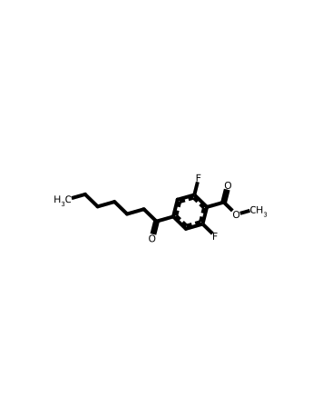 CCCCCCC(=O)c1cc(F)c(C(=O)OC)c(F)c1